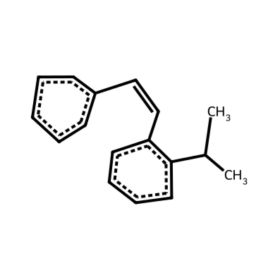 CC(C)c1ccccc1/C=C\c1ccccc1